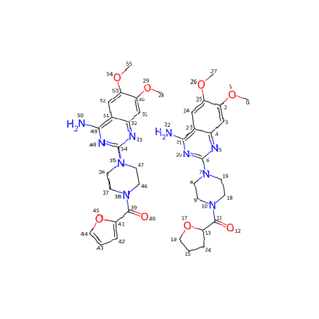 COc1cc2nc(N3CCN(C(=O)C4CCCO4)CC3)nc(N)c2cc1OC.COc1cc2nc(N3CCN(C(=O)c4ccco4)CC3)nc(N)c2cc1OC